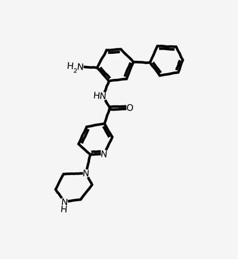 Nc1ccc(-c2ccccc2)cc1NC(=O)c1ccc(N2CCNCC2)nc1